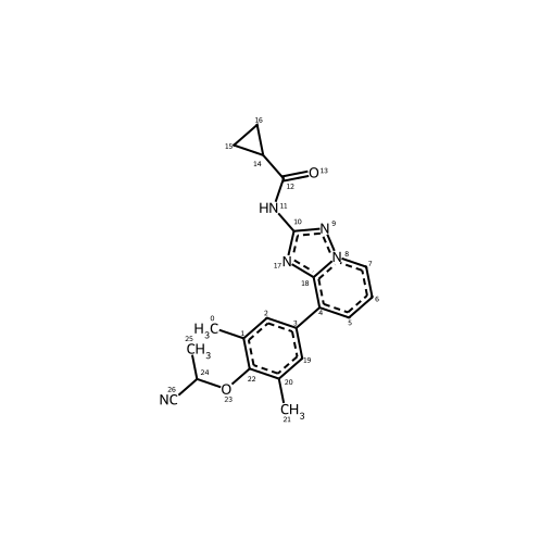 Cc1cc(-c2cccn3nc(NC(=O)C4CC4)nc23)cc(C)c1OC(C)C#N